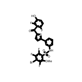 COc1c(F)c(Br)c(F)c(F)c1S(=O)(=O)Nc1cccc(-c2ccc(C(=O)c3c(F)ccc(O)c3F)s2)c1